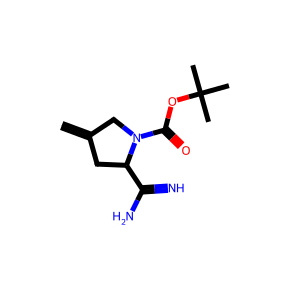 C=C1CC(C(=N)N)N(C(=O)OC(C)(C)C)C1